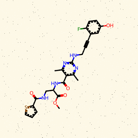 COC(=O)C(CNC(=O)c1cccs1)NC(=O)c1c(C)nc(NCC#Cc2cc(O)ccc2F)nc1C